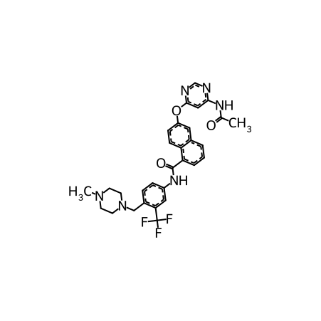 CC(=O)Nc1cc(Oc2ccc3c(C(=O)Nc4ccc(CN5CCN(C)CC5)c(C(F)(F)F)c4)cccc3c2)ncn1